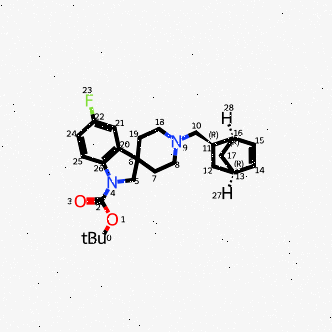 CC(C)(C)OC(=O)N1CC2(CCN(C[C@@H]3C[C@@H]4C=C[C@H]3C4)CC2)c2cc(F)ccc21